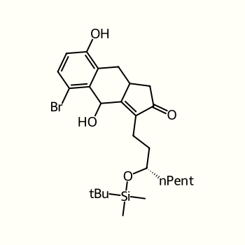 CCCCC[C@@H](CCC1=C2C(CC1=O)Cc1c(O)ccc(Br)c1C2O)O[Si](C)(C)C(C)(C)C